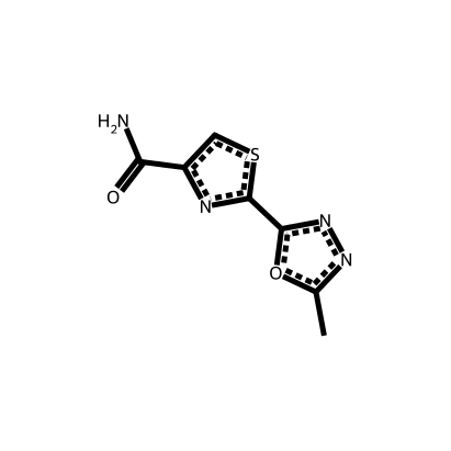 Cc1nnc(-c2nc(C(N)=O)cs2)o1